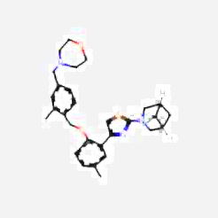 Cc1ccc(OCc2ccc(CN3CCOCC3)cc2C)c(-c2csc(N3C[C@H]4C[C@@H](C3)[C@H]4C(=O)O)n2)c1